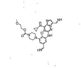 COCCOC(=O)N1CCN(c2cc(C=N)cc(Nc3nc(NC4CC4)c4ncc(C=N)n4n3)c2Cl)CC1